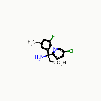 NC(CC(=O)O)(c1cc(F)cc(C(F)(F)F)c1)c1ccc(Cl)cn1